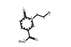 COC(=O)c1ccc(=O)n(CCBr)c1